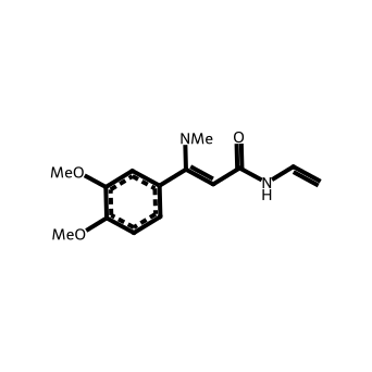 C=CNC(=O)/C=C(\NC)c1ccc(OC)c(OC)c1